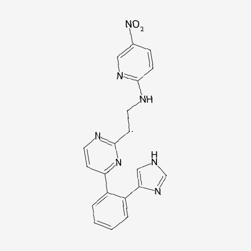 O=[N+]([O-])c1ccc(NC[CH]c2nccc(-c3ccccc3-c3c[nH]cn3)n2)nc1